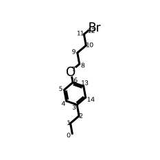 CCCc1ccc(OCCCCBr)cc1